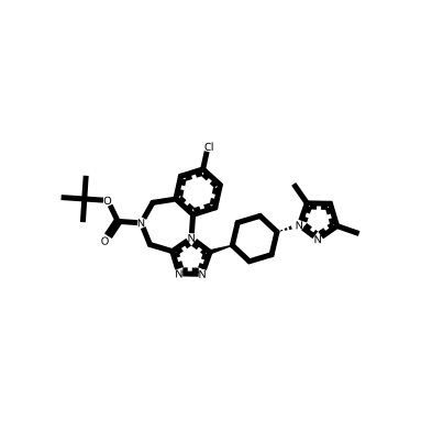 Cc1cc(C)n([C@H]2CC[C@H](c3nnc4n3-c3ccc(Cl)cc3CN(C(=O)OC(C)(C)C)C4)CC2)n1